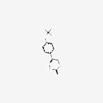 O=C1NN=C(c2ccc(OC(F)(F)F)cc2)CS1